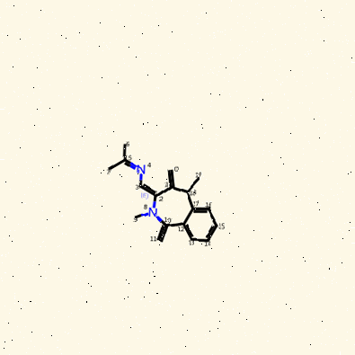 C=C1/C(=C\N=C(C)C)N(C)C(=C)c2ccccc2C1C